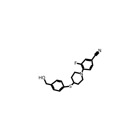 N#Cc1ccc(N2CCC(Sc3ccc(CO)cc3)CC2)c(F)c1